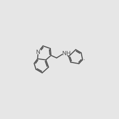 [c]1ccc(NCc2ccnc3ccccc23)cc1